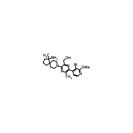 COc1nccc(-c2nc(CO)c(N3CCC4(CCCC4(C)N)CC3)nc2C)c1Br